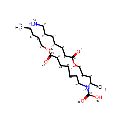 CCCCCOC(=O)CCCCCCN.CCCCCOC(=O)CCCCCCNC(=O)O